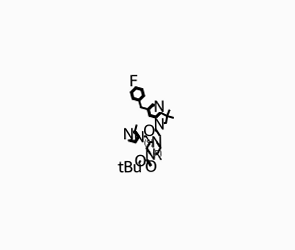 Cc1nccn1C[C@@H]1CN(C(=O)OC(C)(C)C)[C@H](C)CN1CC(=O)N1CC(C)(C)c2ncc(Cc3ccc(F)cc3)cc21